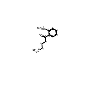 CCCCCc1ccccc1C(=O)CCCC(=O)O